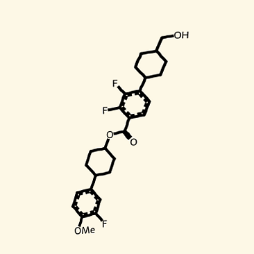 COc1ccc(C2CCC(OC(=O)c3ccc(C4CCC(CO)CC4)c(F)c3F)CC2)cc1F